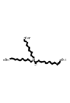 CCCCCCCC/C=C\CCCCCCCC(=O)N(CCCCCCCCCCCCCCCCCC)CCCCCCCCCCCCCCCCCC